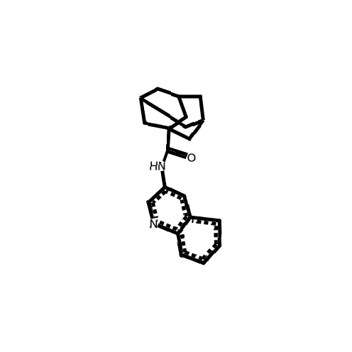 O=C(Nc1cnc2ccccc2c1)C12CC3CC(CC(C3)C1)C2